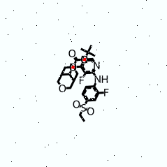 CCS(=O)(=O)c1ccc(Nc2ncnc(OC3C4COCC3CN(C(=O)OC(C)(C)C)C4)c2F)c(F)c1